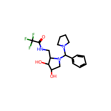 O=C(NCC1C(O)C(O)CN1C(c1ccccc1)N1CCCC1)C(F)(F)F